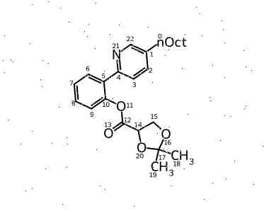 CCCCCCCCc1ccc(-c2ccccc2OC(=O)C2COC(C)(C)O2)nc1